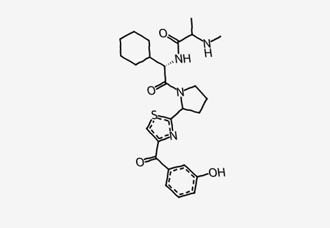 CNC(C)C(=O)N[C@H](C(=O)N1CCCC1c1nc(C(=O)c2cccc(O)c2)cs1)C1CCCCC1